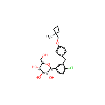 CC1(COc2ccc(Cc3cc([C@@H]4O[C@H](CO)[C@@H](O)[C@H](O)[C@H]4O)ccc3Cl)cc2)CCC1